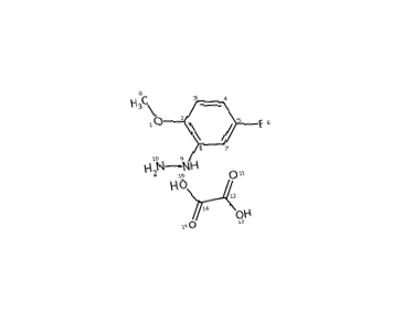 COc1ccc(F)cc1NN.O=C(O)C(=O)O